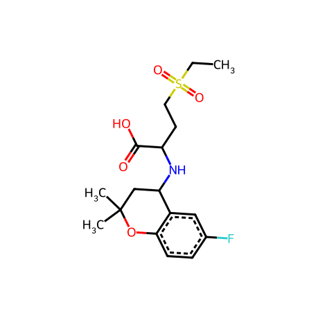 CCS(=O)(=O)CCC(NC1CC(C)(C)Oc2ccc(F)cc21)C(=O)O